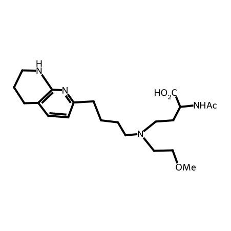 COCCN(CCCCc1ccc2c(n1)NCCC2)CCC(NC(C)=O)C(=O)O